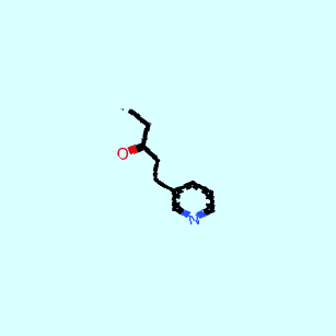 [CH2]CC(=O)CCc1cccnc1